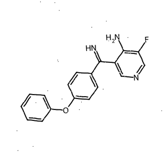 N=C(c1ccc(Oc2ccccc2)cc1)c1cncc(F)c1N